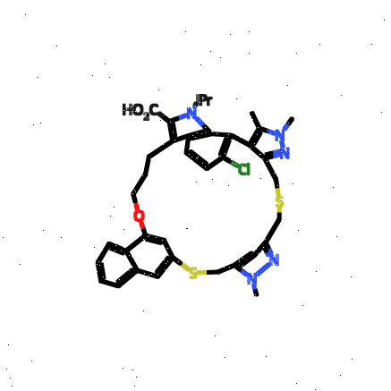 Cc1c2c(nn1C)CSCc1cc(n(C)n1)CSc1cc(c3ccccc3c1)OCCCc1c(C(=O)O)n(C(C)C)c3c-2c(Cl)ccc13